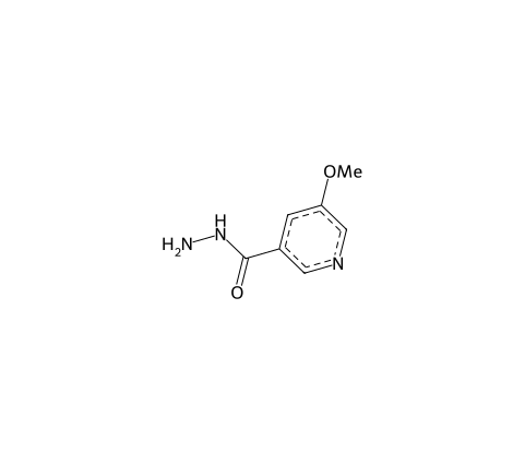 COc1cncc(C(=O)NN)c1